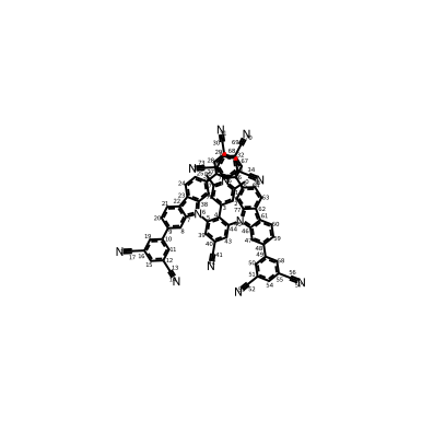 Cc1cc(-c2c(-n3c4cc(-c5cc(C#N)cc(C#N)c5)ccc4c4ccc(-c5cc(C#N)cc(C#N)c5)cc43)cc(C#N)cc2-n2c3cc(-c4cc(C#N)cc(C#N)c4)ccc3c3ccc(-c4cc(C#N)cc(C#N)c4)cc32)cc(C)n1